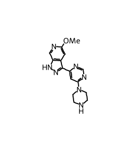 COc1cc2c(-c3cc(N4CCNCC4)ncn3)n[nH]c2cn1